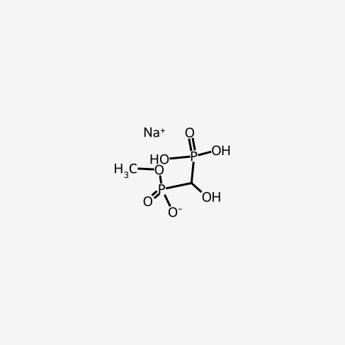 COP(=O)([O-])C(O)P(=O)(O)O.[Na+]